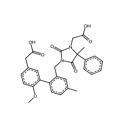 COc1ccc(CC(=O)O)cc1-c1ccc(C)cc1CN1C(=O)N(CC(=O)O)C(C)(c2ccccc2)C1=O